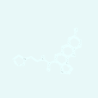 O=C(NCCN1CCCC1)c1cc2cc3cc(Cl)ccc3nc2n2ccnc12